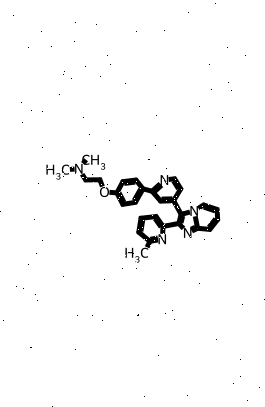 Cc1cccc(-c2nc3ccccn3c2-c2ccnc(-c3ccc(OCCN(C)C)cc3)c2)n1